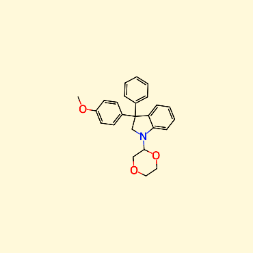 COc1ccc(C2(c3ccccc3)CN(C3COCCO3)c3ccccc32)cc1